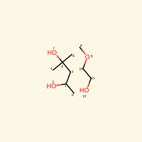 CC(O)CC(C)(C)O.COCCO